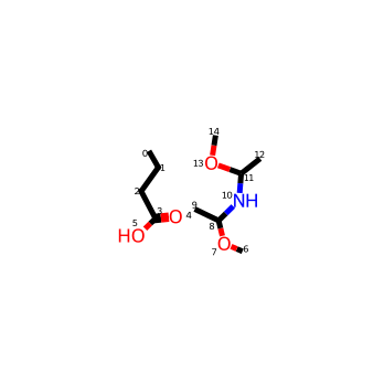 CCCC(=O)O.COC(C)NC(C)OC